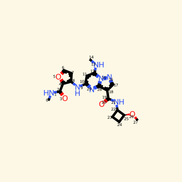 CNC(=O)c1occc1Nc1cc(NC)n2ncc(C(=O)NC3CC[C@@H]3OC)c2n1